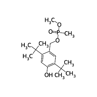 COP(C)(=O)OCc1cc(C(C)(C)C)c(O)cc1C(C)(C)C